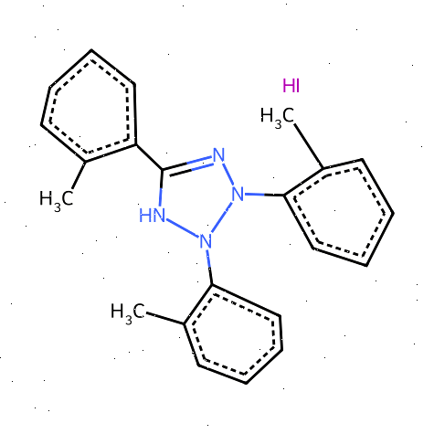 Cc1ccccc1C1=NN(c2ccccc2C)N(c2ccccc2C)N1.I